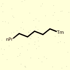 CCCCCCC[CH2][Tm]